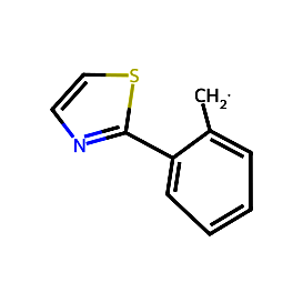 [CH2]c1ccccc1-c1nccs1